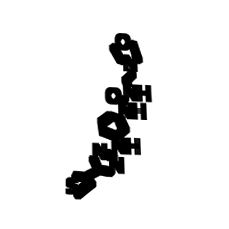 O=C(NCCN1CCOCC1)Nc1cccc(Nc2ncc(-c3ccsc3)cn2)c1